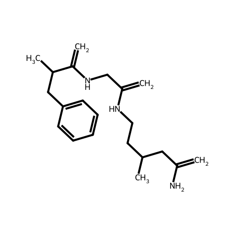 C=C(N)CC(C)CCNC(=C)CNC(=C)C(C)Cc1ccccc1